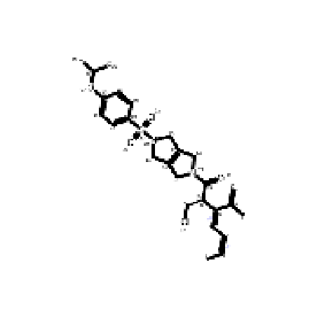 C=C(C)/C(=C\C=C/C)[C@@H](CO)C(=O)N1CC2=C(C1)CN(S(=O)(=O)c1ccc(OC(F)F)cc1)C2